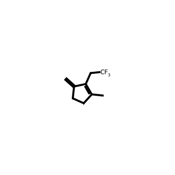 C=C1C[CH]C(C)=C1CC(F)(F)F